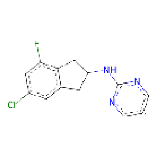 Fc1cc(Cl)cc2c1CC(Nc1nc[c]cn1)C2